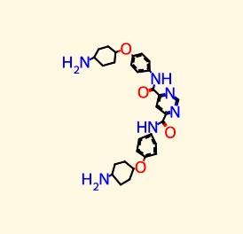 NC1CCC(Oc2ccc(NC(=O)c3cc(C(=O)Nc4ccc(OC5CCC(N)CC5)cc4)ncn3)cc2)CC1